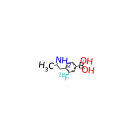 CC(N)Cc1ccc(B(O)O)cc1[18F]